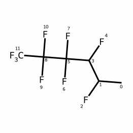 CC(F)C(F)C(F)(F)C(F)(F)C(F)(F)F